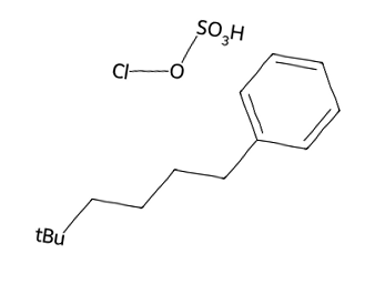 CC(C)(C)CCCCc1ccccc1.O=S(=O)(O)OCl